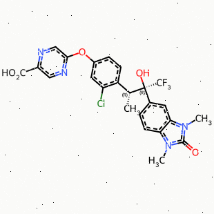 C[C@H](c1ccc(Oc2cnc(C(=O)O)cn2)cc1Cl)[C@@](O)(c1ccc2c(c1)n(C)c(=O)n2C)C(F)(F)F